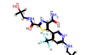 CC(C)(C)CNc1cc(C(F)(F)F)c(-c2sc(C(=O)NCC(C)(C)O)nc2C(N)=O)cn1